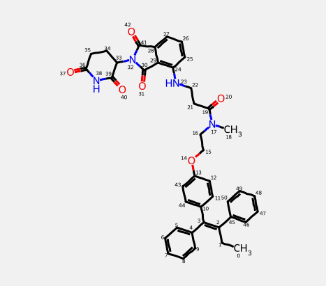 CCC(=C(c1ccccc1)c1ccc(OCCN(C)C(=O)CCNc2cccc3c2C(=O)N(C2CCC(=O)NC2=O)C3=O)cc1)c1ccccc1